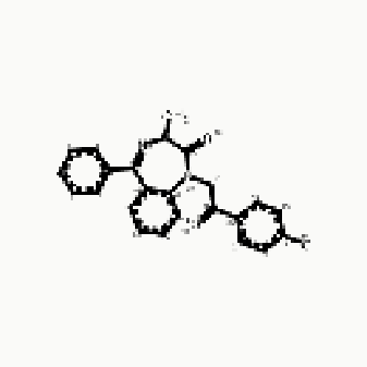 NC1N=C(c2ccccc2)c2ccccc2N(CC(=O)c2ccc(Cl)cc2)C1=O